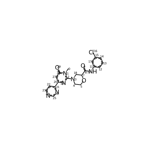 Cn1c(N2CCOC(C(=O)Nc3cccc(Cl)c3)C2)nc(-c2ccncn2)cc1=O